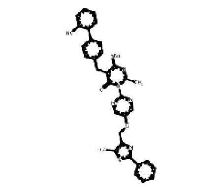 CCCCc1nc(C)n(-c2ncc(OCc3nc(-c4ccccc4)oc3C)cn2)c(=O)c1Cc1ccc(-c2ccccc2C#N)cc1